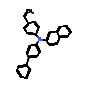 C=Cc1ccc(N(c2ccc(-c3ccccc3)cc2)c2ccc3ccccc3c2)cc1